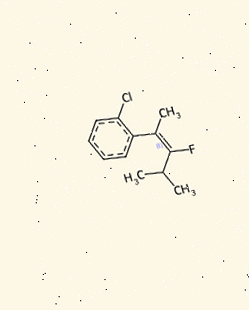 C/C(=C(\F)C(C)C)c1ccccc1Cl